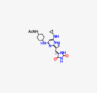 CC(=O)NC1CCC(Nc2cc(NC3CC3)n3ncc(/C=C4\NC(=O)NC4=O)c3n2)CC1